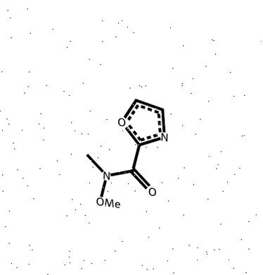 CON(C)C(=O)c1ncco1